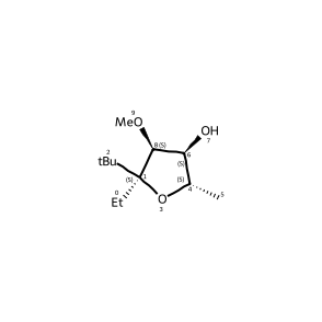 CC[C@@]1(C(C)(C)C)O[C@@H](C)[C@H](O)[C@@H]1OC